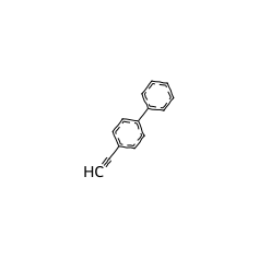 C#Cc1ccc(-c2ccccc2)cc1